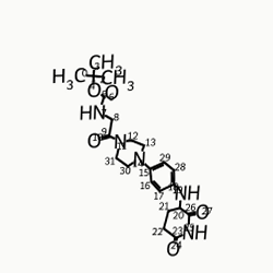 CC(C)(C)OC(=O)NCC(=O)N1CCN(c2ccc(NC3CCC(=O)NC3=O)cc2)CC1